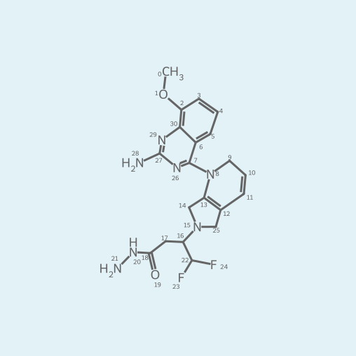 COc1cccc2c(N3CC=CC4=C3CN(C(CC(=O)NN)C(F)F)C4)nc(N)nc12